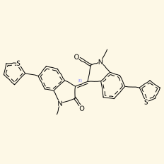 CN1C(=O)/C(=C2/C(=O)N(C)c3cc(-c4cccs4)ccc32)c2ccc(-c3cccs3)cc21